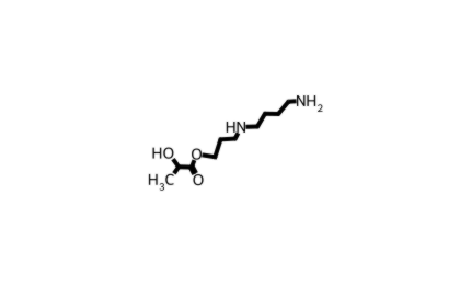 CC(O)C(=O)OCCCNCCCCN